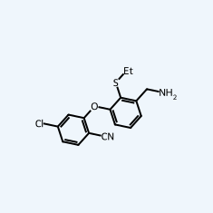 CCSc1c(CN)cccc1Oc1cc(Cl)ccc1C#N